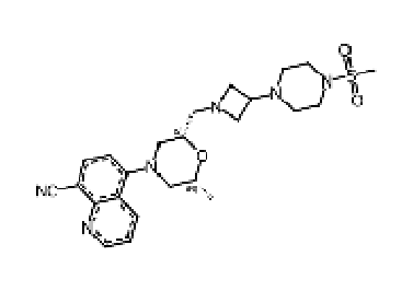 C[C@@H]1CN(c2ccc(C#N)c3ncccc23)C[C@H](CN2CC(N3CCN(S(C)(=O)=O)CC3)C2)O1